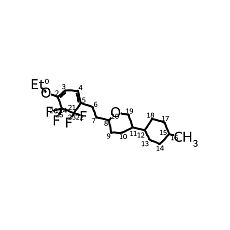 CCOC1=CC=C(CCC2CCC(C3CCC(C)CC3)CO2)C(F)(F)C1(F)F